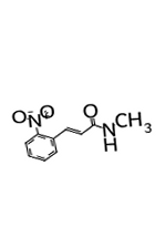 CNC(=O)C=Cc1ccccc1[N+](=O)[O-]